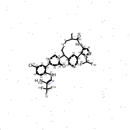 CC1CCCC(n2cnc(-c3cc(Cl)ccc3N/C=C(\N)C(F)(F)F)cc2=O)c2cncc(c2)-c2c(cnn2C(F)F)NC1=O